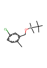 Cc1ccc(Cl)cc1CO[Si](C)(C)C(C)(C)C